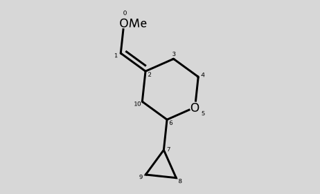 COC=C1CCOC(C2CC2)C1